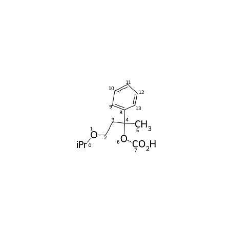 CC(C)OCCC(C)(OC(=O)O)c1ccccc1